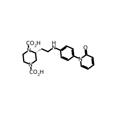 O=C(O)N1CCN(C(=O)O)[C@H](CCNc2ccc(-n3ccccc3=O)cc2)C1